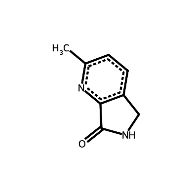 Cc1ccc2c(n1)C(=O)NC2